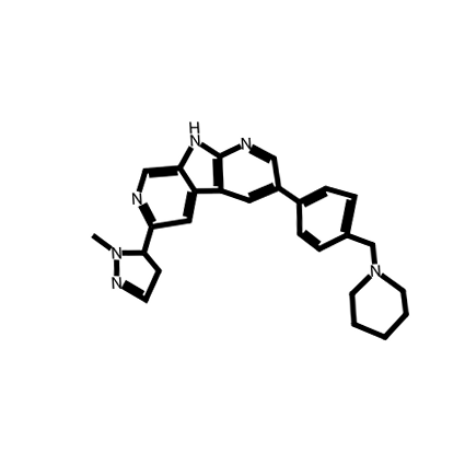 CN1N=CCC1c1cc2c(cn1)[nH]c1ncc(-c3ccc(CN4CCCCC4)cc3)cc12